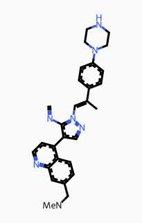 C=Nc1c(-c2ccnc3cc(CNC)ccc23)cnn1/C=C(\C)c1ccc(N2CCNCC2)cc1